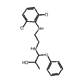 CC(O)C(NCCNc1c(Cl)cccc1Cl)Oc1ccccc1